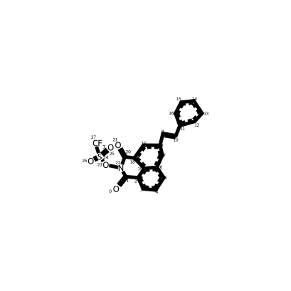 O=C1c2cccc3cc(/C=C/c4ccccc4)cc(c23)C(=O)N1OS(=O)(=O)C(F)(F)F